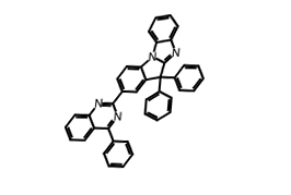 c1ccc(-c2nc(-c3ccc4c(c3)C(c3ccccc3)(c3ccccc3)c3nc5ccccc5n3-4)nc3ccccc23)cc1